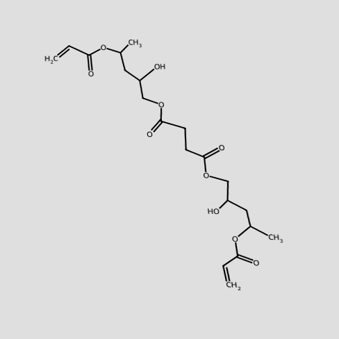 C=CC(=O)OC(C)CC(O)COC(=O)CCC(=O)OCC(O)CC(C)OC(=O)C=C